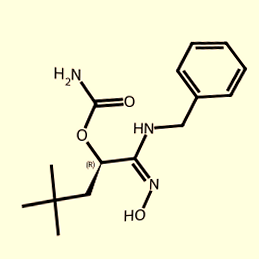 CC(C)(C)C[C@@H](OC(N)=O)C(=NO)NCc1ccccc1